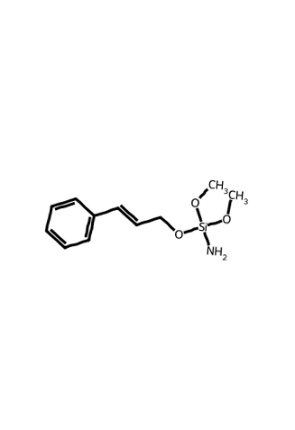 CO[Si](N)(OC)OCC=Cc1ccccc1